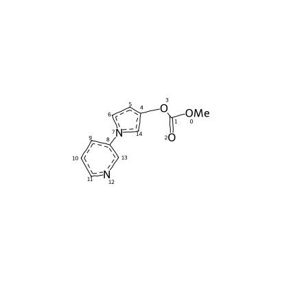 COC(=O)Oc1ccn(-c2cccnc2)c1